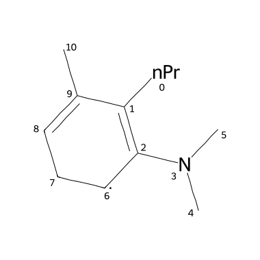 CCCC1=C(N(C)C)[CH]CC=C1C